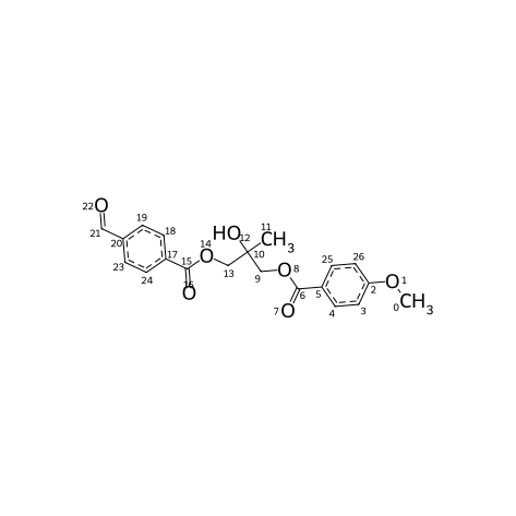 COc1ccc(C(=O)OCC(C)(O)COC(=O)c2ccc(C=O)cc2)cc1